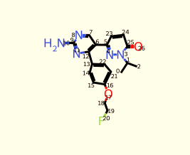 CC(C)n1nc(-c2cnc(N)nc2-c2ccc(OCCF)cc2)ccc1=O